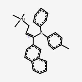 Cc1ccc(B(/C(=C\C[PH](C)(C)C)c2ccc3ccccc3c2)c2ccccc2)cc1